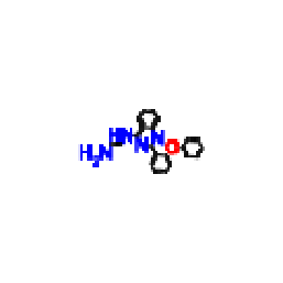 NCCNc1nc(-c2ccccc2Oc2ccccc2)nc2ccccc12